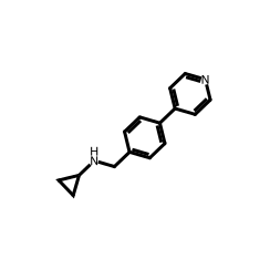 c1cc(-c2ccc(CNC3CC3)cc2)ccn1